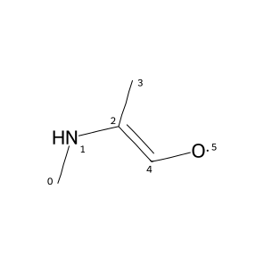 CNC(C)=C[O]